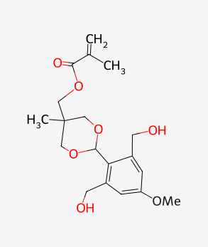 C=C(C)C(=O)OCC1(C)COC(c2c(CO)cc(OC)cc2CO)OC1